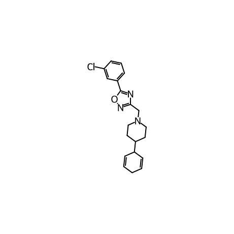 Clc1cccc(-c2nc(CN3CCC(C4C=CCC=C4)CC3)no2)c1